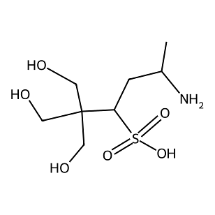 CC(N)CC(C(CO)(CO)CO)S(=O)(=O)O